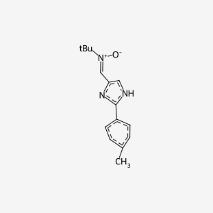 Cc1ccc(-c2nc(/C=[N+](\[O-])C(C)(C)C)c[nH]2)cc1